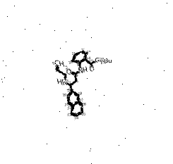 C=CCNC(CC(=O)Nc1ccccc1C(=O)OCCCC)c1ccc2ccccc2c1